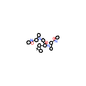 CC1(C)c2ccccc2-c2c(-c3ccc(-n4c5ccccc5c5cc(-c6nc7ccccc7o6)ccc54)c4oc5ccc(-n6c7ccccc7c7cc(-c8nc9ccccc9o8)ccc76)cc5c34)cccc21